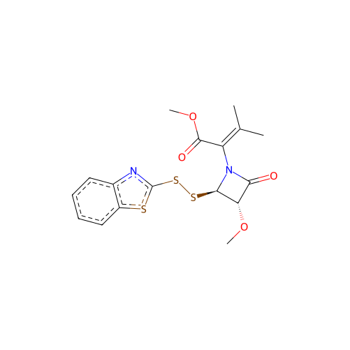 COC(=O)C(=C(C)C)N1C(=O)[C@H](OC)[C@H]1SSc1nc2ccccc2s1